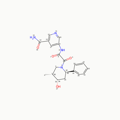 C[C@@H]1CN(C(=O)C(=O)Nc2cncc(C(N)=O)c2)[C@@H](c2ccccc2)C[C@@H]1O